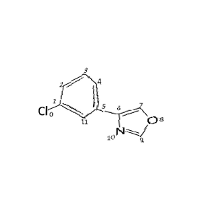 Clc1cccc(-c2cocn2)c1